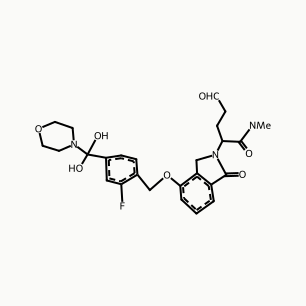 CNC(=O)C(CCC=O)N1Cc2c(OCc3ccc(C(O)(O)N4CCOCC4)cc3F)cccc2C1=O